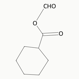 O=COC(=O)C1CCCCC1